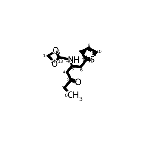 CCC(=O)CC(Cc1cccs1)NC1OCO1